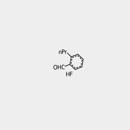 CCCc1ccccc1C=O.F